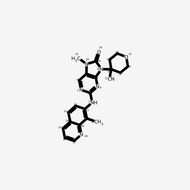 Cc1c(Nc2ncc3c(n2)n(C2(C#N)CCOCC2)c(=O)n3C)ccc2cccnc12